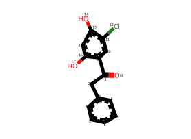 O=C(Cc1ccccc1)c1cc(Cl)c(O)cc1O